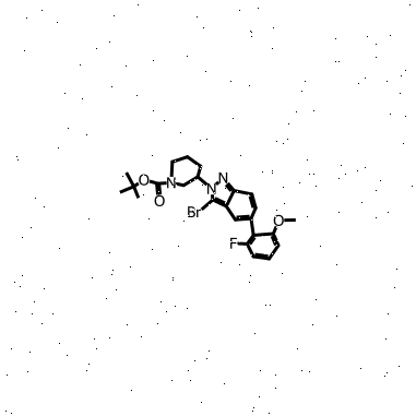 COc1cccc(F)c1-c1ccc2nn(C3CCCN(C(=O)OC(C)(C)C)C3)c(Br)c2c1